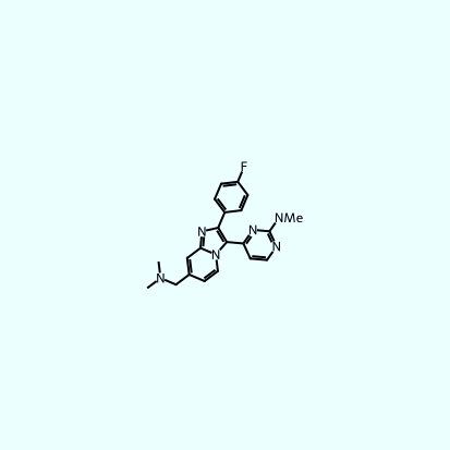 CNc1nccc(-c2c(-c3ccc(F)cc3)nc3cc(CN(C)C)ccn23)n1